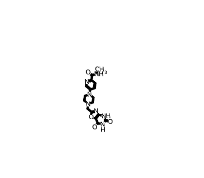 CNC(=O)c1ccc(N2CCN(Cc3nc4[nH]c(=O)[nH]c(=O)c4o3)CC2)cn1